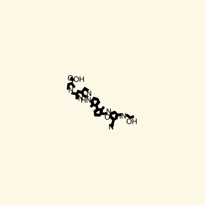 Cc1c(Nc2nccc3cc(CN4CC[C@@H](C(=O)O)C4)cnc23)cccc1-c1cccc(-c2nc3cc(CNCC(C)O)cc(C#N)c3o2)c1C